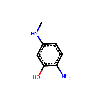 CNc1ccc(N)c(O)c1